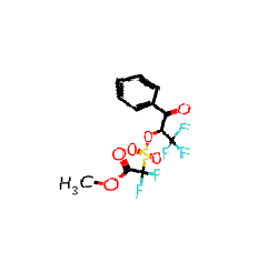 COC(=O)C(F)(F)S(=O)(=O)OC(C(=O)c1ccccc1)C(F)(F)F